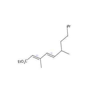 CCOC(=O)/C=C(C)/C=C/C(C)CCC(C)C